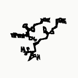 CCCCCCCCCCCCOC(=O)CCCCCN(C)C(=O)O.CCCCCCCCCCCCOC(=O)N(C)CCCCC